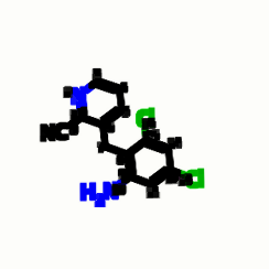 N#Cc1ncccc1Cc1c(N)cc(Cl)cc1Cl